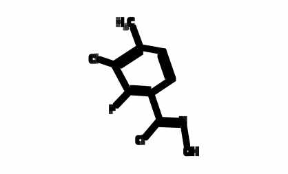 Cc1ccc(/C(Cl)=N/O)c(F)c1Cl